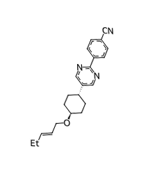 CC/C=C/CO[C@H]1CC[C@H](c2cnc(-c3ccc(C#N)cc3)nc2)CC1